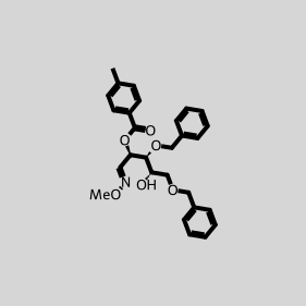 CON=C[C@@H](OC(=O)c1ccc(C)cc1)[C@H](OCc1ccccc1)[C@@H](O)COCc1ccccc1